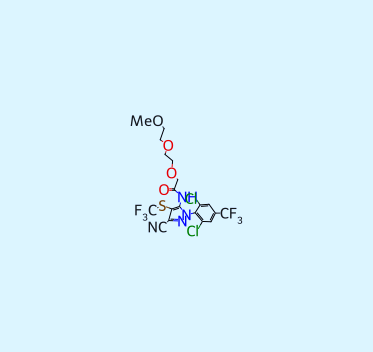 COCCOCCOCC(=O)Nc1c(SC(F)(F)F)c(C#N)nn1-c1c(Cl)cc(C(F)(F)F)cc1Cl